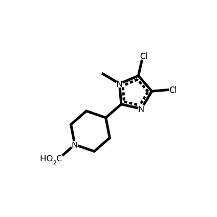 Cn1c(C2CCN(C(=O)O)CC2)nc(Cl)c1Cl